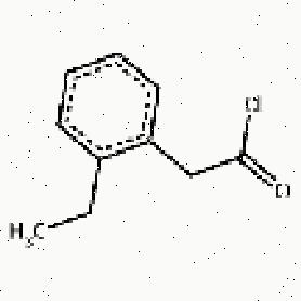 CCc1ccccc1CC(=O)Cl